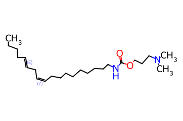 CCCC/C=C/C/C=C\CCCCCCCCCNC(=O)OCCCN(C)C